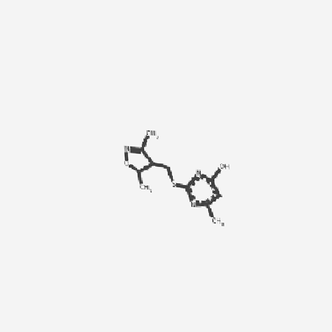 CC1=NOC(C)C1CSc1nc(C)cc(O)n1